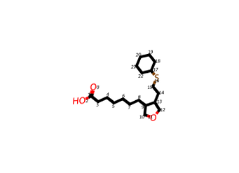 O=C(O)CCCCCCC1COCC1CCSC1CCCCC1